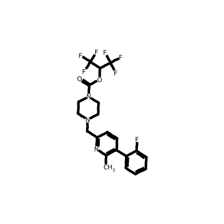 Cc1nc(CN2CCN(C(=O)OC(C(F)(F)F)C(F)(F)F)CC2)ccc1-c1ccccc1F